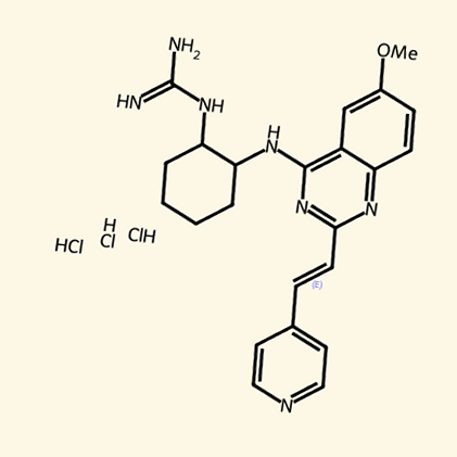 COc1ccc2nc(/C=C/c3ccncc3)nc(NC3CCCCC3NC(=N)N)c2c1.Cl.Cl.Cl